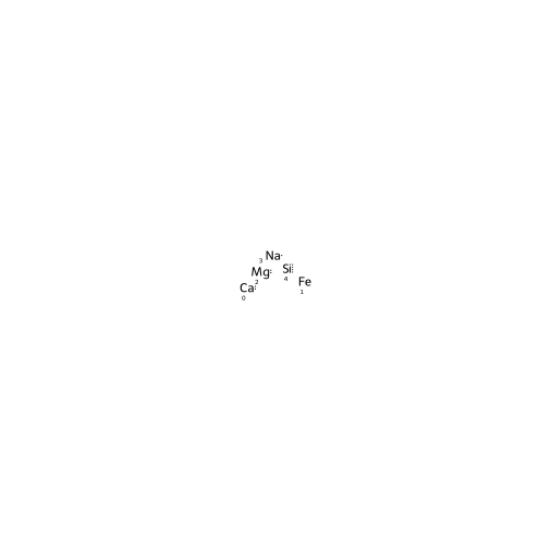 [Ca].[Fe].[Mg].[Na].[Si]